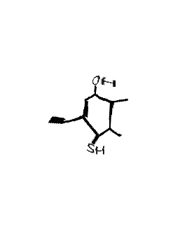 C=CC1=CC(O)C(C)C(C)C1S